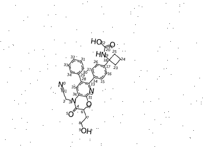 N#CCN1C(=O)C(CCO)Oc2nc(-c3ccc(C4(NC(=O)O)CCC4)cc3)c(-c3ccccc3)cc21